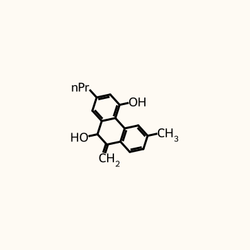 C=C1c2ccc(C)cc2-c2c(O)cc(CCC)cc2C1O